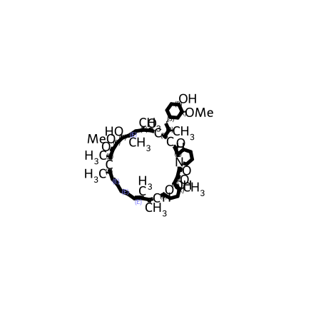 CO[C@@H]1C[C@H](C[C@@H](C)[C@@H]2CC(=O)[C@H](C)/C=C(\C)[C@@H](O)[C@@H](OC)C(=O)[C@H](C)C[C@H](C)/C=C/C=C/C=C(\C)C(C)C[C@@H]3CC[C@@H](C)[C@@](O)(O3)C(=O)C(=O)N3CCCC[C@H]3C(=O)C2)CC[C@H]1O